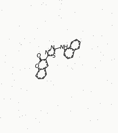 O=c1oc2ccccc2cc1-c1nnc(Nc2cccc3ccccc23)s1